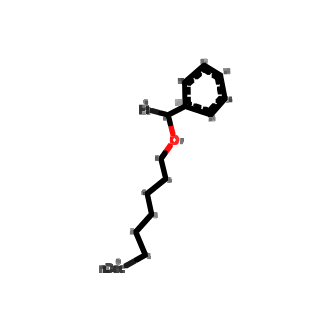 CCCCCCCCCCCCCCCCOC(CC)c1ccccc1